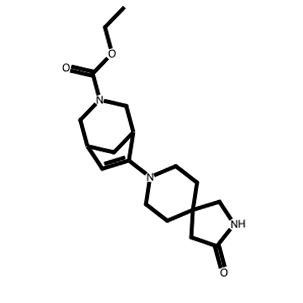 CCOC(=O)N1CC2C=C(N3CCC4(CC3)CNC(=O)C4)C(C2)C1